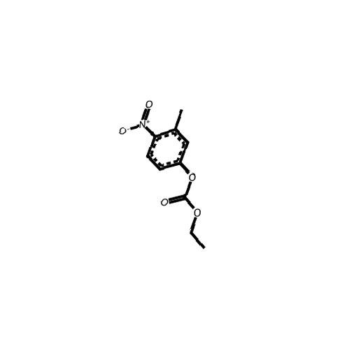 CCOC(=O)Oc1ccc([N+](=O)[O-])c(C)c1